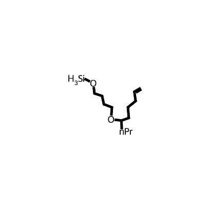 C=CCCCC(CCC)OCCCCO[SiH3]